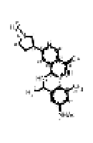 CC(=O)Nc1cc(C(C)Nc2n[nH]c(=O)c3cnc(C4CCN(C)C4)cc23)cc(C(F)(F)F)c1